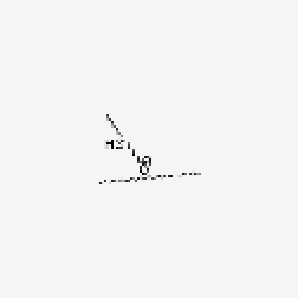 CCCCCCCCCCCCC(CCCCCCCCCCCC)COC(=O)CCCCCCC(O)CCCCCCC